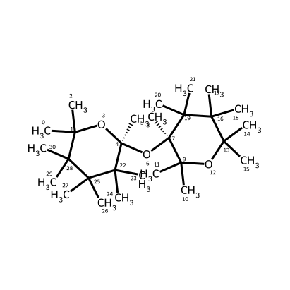 CC1(C)O[C@@](C)(O[C@]2(C)C(C)(C)OC(C)(C)C(C)(C)C2(C)C)C(C)(C)C(C)(C)C1(C)C